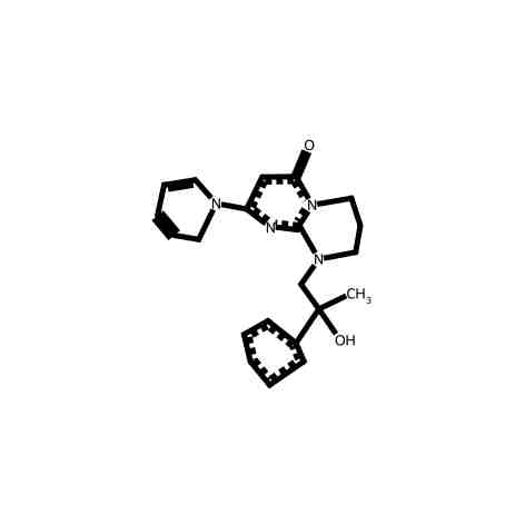 CC(O)(CN1CCCn2c1nc(N1C=CC#CC1)cc2=O)c1ccccc1